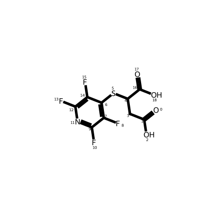 O=C(O)CC(Sc1c(F)c(F)nc(F)c1F)C(=O)O